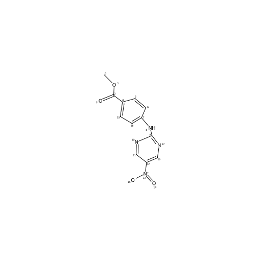 COC(=O)c1ccc(Nc2ncc([N+](=O)[O-])cn2)cc1